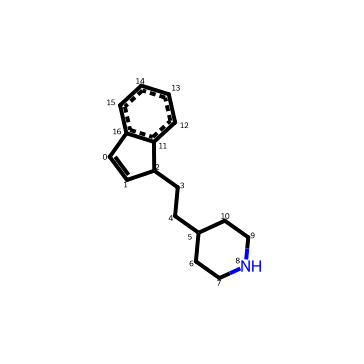 C1=CC(CCC2CCNCC2)c2ccccc21